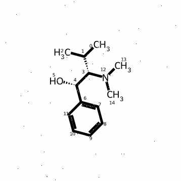 CC(C)[C@@H]([C@@H](O)c1ccccc1)N(C)C